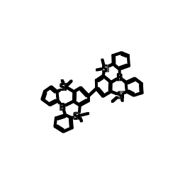 C[Si]1(C)c2ccccc2B2c3ccccc3[Si](C)(C)c3cc(-c4cc5c6c(c4)[Si](C)(C)c4ccccc4B6c4ccccc4[Si]5(C)C)cc1c32